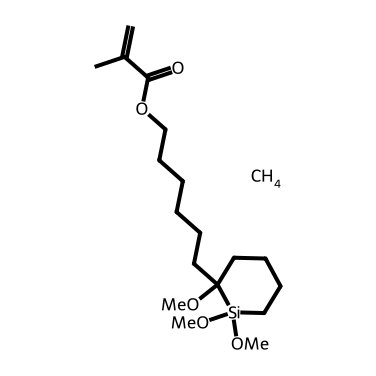 C.C=C(C)C(=O)OCCCCCCC1(OC)CCCC[Si]1(OC)OC